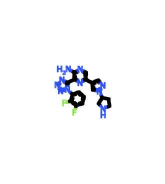 Nc1ncc(-c2cnn(C3CCNC3)c2)nc1-c1nnnn1-c1cccc(F)c1F